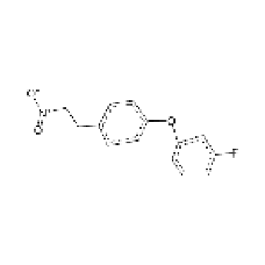 O=[N+]([O-])CCc1ccc(Oc2cccc(F)c2)cc1